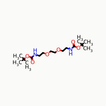 CC(C)(C)OC(=O)NCCOCCOCCNC(=O)OC(C)(C)C